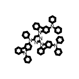 c1ccc(N(c2ccccc2)c2ccc3c(c2)c2ccccc2n3-c2cc(N(c3ccccc3)c3ccc4c(c3)c3ccccc3n4-c3ccccc3)nc(-n3c4ccccc4c4cc(N(c5ccccc5)c5ccccc5)ccc43)n2)cc1